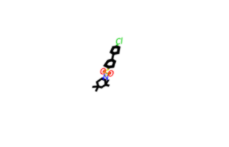 CC1(C)CC2CC(C)(CN2S(=O)(=O)c2ccc(-c3ccc(Cl)cc3)cc2)C1